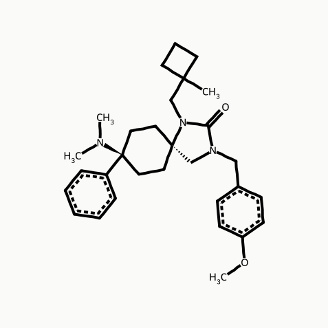 COc1ccc(CN2C[C@]3(CC[C@](c4ccccc4)(N(C)C)CC3)N(CC3(C)CCC3)C2=O)cc1